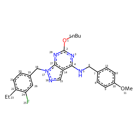 CCCCOc1nc(NCc2ccc(OC)cc2)c2cnn(Cc3ccc(CC)c(F)c3)c2n1